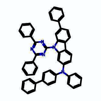 c1ccc(-c2ccc(N(c3ccccc3)c3ccc4c5ccc(-c6ccccc6)cc5n(-c5nc(-c6ccccc6)nc(-c6ccccc6)n5)c4c3)cc2)cc1